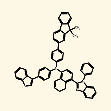 CC1(C)c2ccccc2-c2ccc(-c3ccc(N(c4ccc(-c5csc6ccccc56)cc4)c4ccc(-c5nc6ccccc6n5-c5ccccc5)c5c4C=CCC5)cc3)cc21